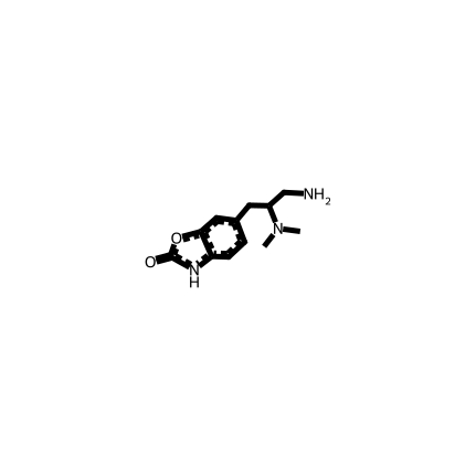 CN(C)C(CN)Cc1ccc2[nH]c(=O)oc2c1